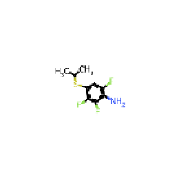 CC(C)Sc1cc(F)c(N)c(F)c1F